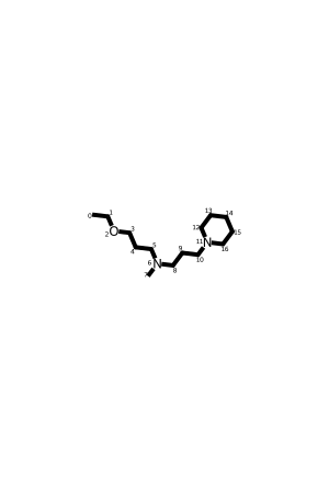 CCOCCCN(C)CCCN1CCCCC1